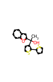 CC(O)(c1cc2ccccc2o1)c1ccsc1-c1cccs1